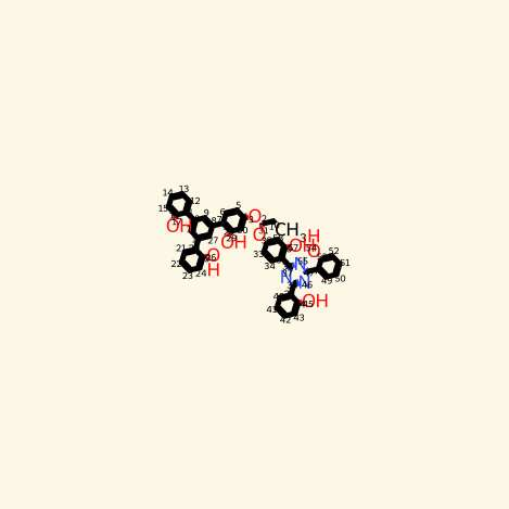 CCC(Oc1ccc(-c2cc(-c3ccccc3O)cc(-c3ccccc3O)c2)c(O)c1)Oc1ccc(-c2nc(-c3ccccc3O)nc(-c3ccccc3O)n2)c(O)c1